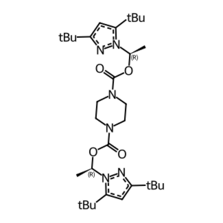 C[C@@H](OC(=O)N1CCN(C(=O)O[C@H](C)n2nc(C(C)(C)C)cc2C(C)(C)C)CC1)n1nc(C(C)(C)C)cc1C(C)(C)C